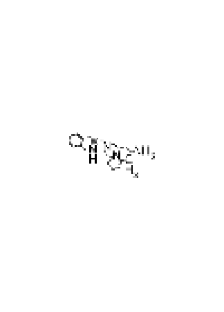 Cc1cccc(CN(CCCCN)C[C@H]2Cc3ccccc3CN2)n1